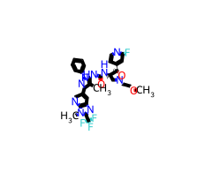 COCCN1C[C@@H](NC(=O)Nc2c(C)c(-c3cnc4c(c3)nc(C(F)(F)F)n4C)nn2-c2ccccc2)[C@H](c2ccnc(F)c2)O1